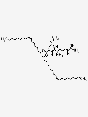 CCCCCCCC/C=C\CCCCCCCCC(CCCCCCC/C=C\CCCCCCCC)OC(=O)[C@H](CCSCC)NC(=N)C(N)CCCNC(=N)N